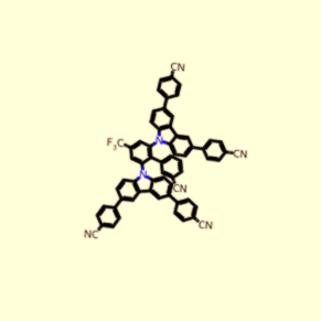 N#Cc1ccc(-c2ccc3c(c2)c2cc(-c4ccc(C#N)cc4)ccc2n3-c2cc(C(F)(F)F)cc(-n3c4ccc(-c5ccc(C#N)cc5)cc4c4cc(-c5ccc(C#N)cc5)ccc43)c2-c2cccc(C#N)c2)cc1